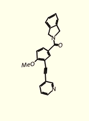 COc1ccc(C(=O)N2Cc3ccccc3C2)cc1C#Cc1cccnc1